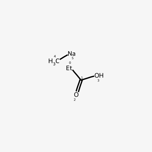 CCC(=O)O.[CH3][Na]